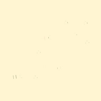 COC(=O)OC1COS(=O)(=O)C1C